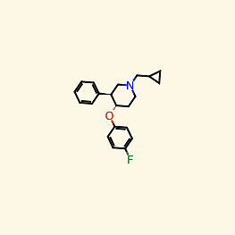 Fc1ccc(O[C@H]2CCN(CC3CC3)C[C@@H]2c2ccccc2)cc1